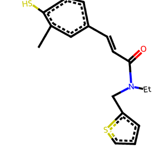 CCN(Cc1cccs1)C(=O)/C=C/c1ccc(S)c(C)c1